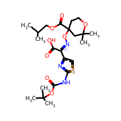 CC(C)COC(=O)C1(O/N=C(\C(=O)O)c2csc(NC(=O)OC(C)(C)C)n2)CCOC(C)(C)C1